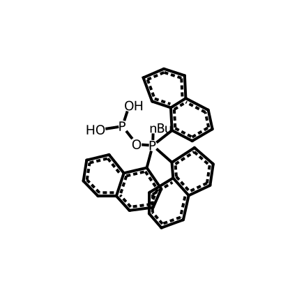 CCCCP(OP(O)O)(c1cccc2ccccc12)(c1cccc2ccccc12)c1cccc2ccccc12